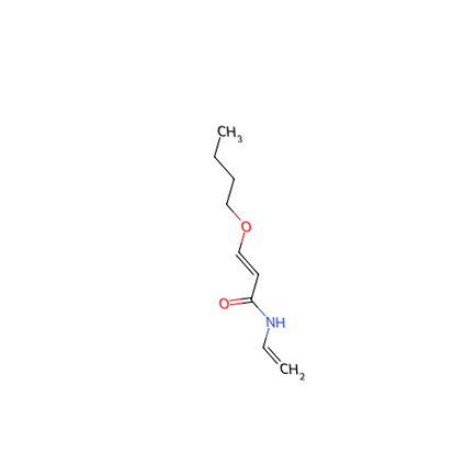 C=CNC(=O)C=COCCCC